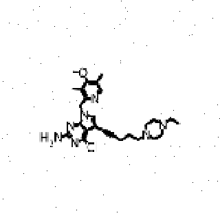 CCN1CCN(CCCC#Cc2cn(Cc3ncc(C)c(OC)c3C)c3nc(N)nc(Cl)c23)CC1